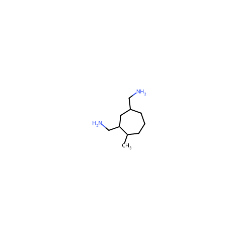 CC1CCCC(CN)CC1CN